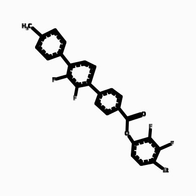 CCc1ccc(OC(=O)c2ccc(-c3ccc(-c4ccc(C)cc4)c(F)c3F)cc2)c(F)c1F